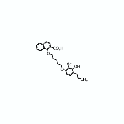 C=CCc1ccc(OCCCCCOc2c(C(=O)O)ccc3ccccc23)c(C(C)=O)c1O